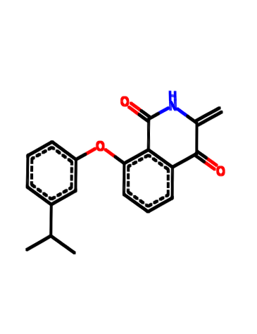 C=C1NC(=O)c2c(Oc3cccc(C(C)C)c3)cccc2C1=O